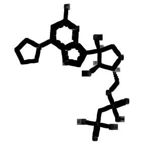 O=P(O)(O)CP(=O)(O)OC[C@H]1OC[C@@](O)(c2cnc3c(N4CCCC4)cc(Cl)nn23)[C@@H]1O